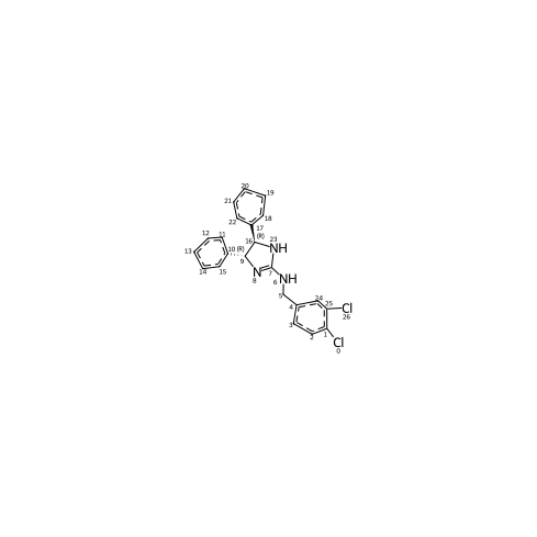 Clc1ccc(CNC2=N[C@H](c3ccccc3)[C@@H](c3ccccc3)N2)cc1Cl